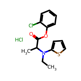 CCN(c1cccs1)C(C)C(=O)Oc1ccccc1Cl.Cl